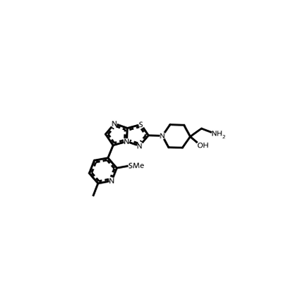 CSc1nc(C)ccc1-c1cnc2sc(N3CCC(O)(CN)CC3)nn12